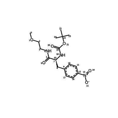 COCCNC(=O)[C@H](Cc1ccc([N+](=O)[O-])cc1)NC(=O)OC(C)(C)C